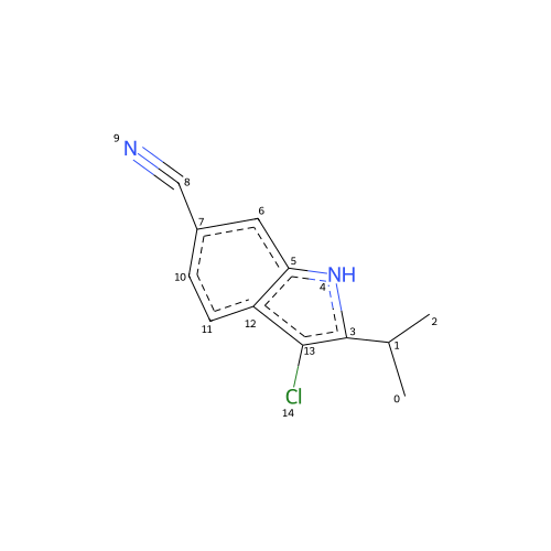 CC(C)c1[nH]c2cc(C#N)ccc2c1Cl